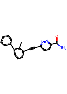 Cc1c(C#Cc2ccc(C(N)=O)nn2)cccc1-c1ccccc1